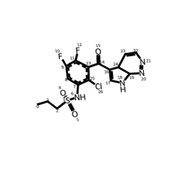 CCCS(=O)(=O)Nc1cc(F)c(F)c(C(=O)C2=CNC3N=NC=CC23)c1Cl